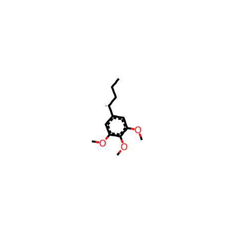 CCC[CH]c1cc(OC)c(OC)c(OC)c1